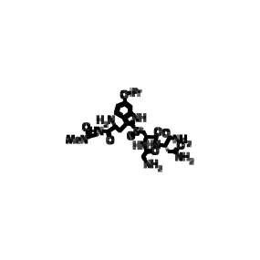 CNC(=O)CNC(=O)[C@@H](N)Cc1c([S+]([O-])C[C@H](NC(=O)CN)C(=O)N[C@@H](CC(N)=O)C(N)=O)[nH]c2cc(OC(C)C)ccc12